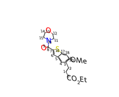 CCOC(=O)CCc1cc2cc(C(=O)N3CCOCC3)sc2cc1OC